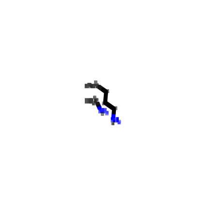 CCCCCCCCN.NC(=O)O